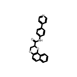 O=C(Nc1ccc(-c2ccncc2)cc1)C1COc2ccc3ccccc3c2O1